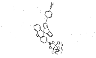 CC1(C)OB(c2ccc3c(c2)C2(c4ccccc4O3)c3ccccc3-c3cc(-c4ccc(C#N)cc4)ccc32)OC1(C)C